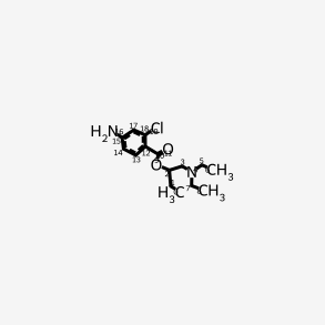 CCC(CN(CC)CC)OC(=O)c1ccc(N)cc1Cl